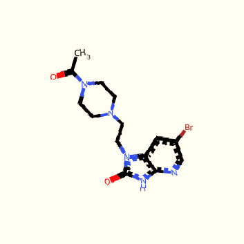 CC(=O)N1CCN(CCn2c(=O)[nH]c3ncc(Br)cc32)CC1